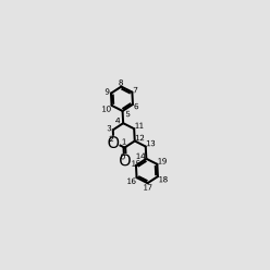 O=C1OCC(c2ccccc2)CC1Cc1ccccc1